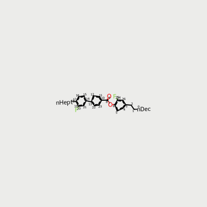 CCCCCCCCCCCCc1ccc(OC(=O)c2ccc(-c3ccc(CCCCCCC)c(F)c3)cc2)c(F)c1